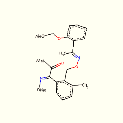 CNC(=O)/C(=N/OC)c1cccc(C)c1CO/N=C(\C)c1ccccc1OCOC